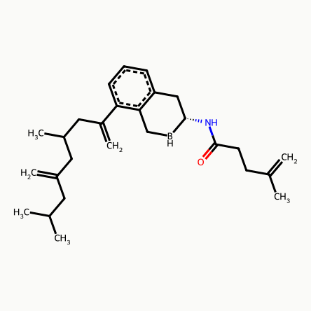 C=C(C)CCC(=O)N[C@@H]1BCc2c(cccc2C(=C)CC(C)CC(=C)CC(C)C)C1